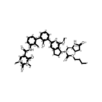 CCCCOC(=O)N(C[C@@H]1CCC(=O)N1)[C@H]1CCc2cc(-c3cccc(-c4cccc(NC(=O)c5cn(C)c(=O)n(C)c5=O)c4C)c3Cl)nc(OC)c21